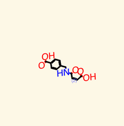 O=C(O)/C=C\C(=O)NCc1ccc(C(=O)O)cc1